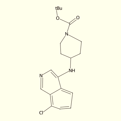 CC(C)(C)OC(=O)N1CCC(Nc2cncc3c(Cl)cccc23)CC1